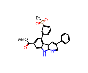 CCS(=O)(=O)c1cccc(-c2cc(C(=O)OC)cc3[nH]c4ncc(-c5ccccc5)cc4c23)c1